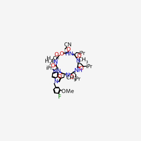 COc1cc(Cn2cc(C[C@H]3C(=O)N[C@@H](CC(C)C)C(=O)N(C)[C@@H](C)C(=O)O[C@H](CCC#N)C(=O)N[C@@H](CC(C)C)C(=O)N(C)[C@@H](CCC(C)C)C(=O)N[C@@H](CC(C)C)C(=O)N3C)c3ccccc32)ccc1F